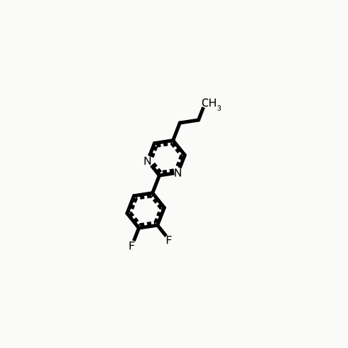 CCCc1cnc(-c2ccc(F)c(F)c2)nc1